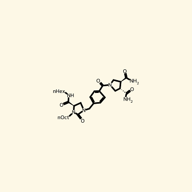 CCCCCCCCN1C(=O)N(Cc2ccc(C(=O)N3C[C@@H](C(N)=O)[C@H](C(N)=O)C3)cc2)C[C@@H]1C(=O)NCCCCCC